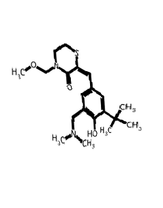 COCN1CCS/C(=C/c2cc(CN(C)C)c(O)c(C(C)(C)C)c2)C1=O